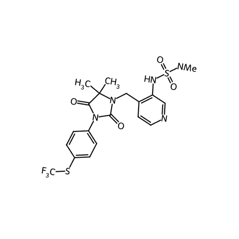 CNS(=O)(=O)Nc1cnccc1CN1C(=O)N(c2ccc(SC(F)(F)F)cc2)C(=O)C1(C)C